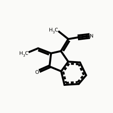 C/C=C1\C(=O)c2ccccc2\C1=C(\C)C#N